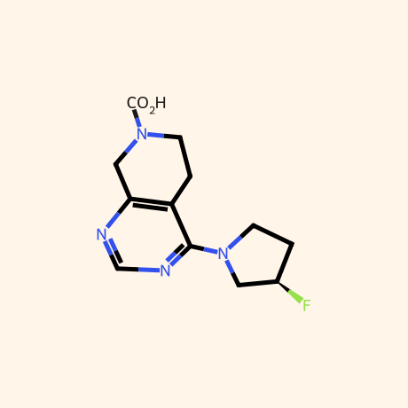 O=C(O)N1CCc2c(ncnc2N2CC[C@@H](F)C2)C1